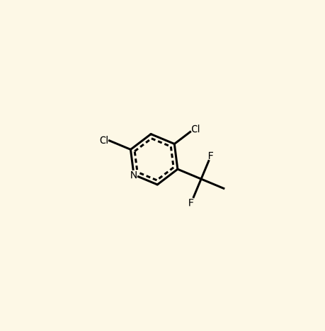 CC(F)(F)c1cnc(Cl)cc1Cl